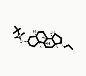 CCC[C@H]1CC[C@]2(O)[C@@H]3CC[C@@H]4C[C@@H](O[Si](C)(C)C(C)(C)C)CC[C@]4(C)[C@H]3CC[C@]12C